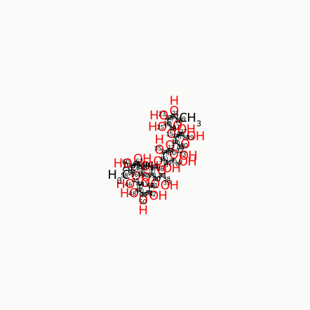 CC(=O)N[C@H]1[C@H](O[C@H]2[C@@H](O)[C@@H](CO)O[C@@H](O[C@H]3[C@H](O[C@@H]4O[C@@H](C)[C@@H](O)[C@@H](O)[C@@H]4O)[C@@H](O)C(O)O[C@@H]3CO)[C@@H]2O)O[C@H](CO)[C@@H](O[C@@H]2O[C@H](CO)[C@H](O)[C@H](O)[C@H]2O)[C@@H]1O[C@@H]1O[C@@H](C)[C@@H](O)[C@@H](O)[C@@H]1O